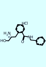 Cl.N[C@@H](CO)Cc1ccccc1C(=O)NCc1ccccc1